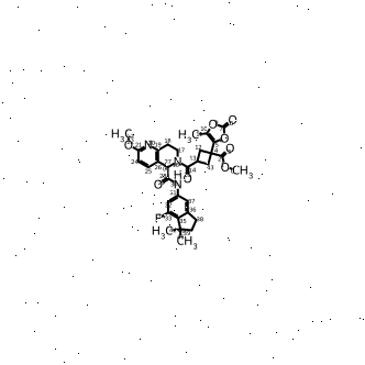 COC(=O)C1(c2oc(=O)oc2C)CC(C(=O)N2CCc3nc(OC)ccc3[C@@H]2C(=O)Nc2cc(F)c3c(c2)CCC3(C)C)C1